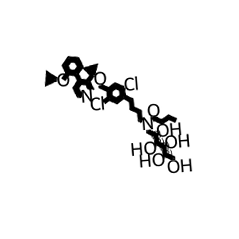 CCCC(=O)N(CCCCc1cc(Cl)c(COC2(c3cnccc3-c3ccccc3OC3CC3)CC2)cc1Cl)C[C@H](O)[C@@H](O)[C@H](O)[C@H](O)CO